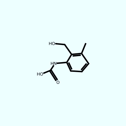 Cc1cccc(NC(=O)O)c1CO